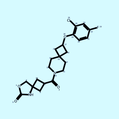 O=C1NC2(CO1)CC(C(=O)N1CCC3(CC1)CC(Oc1ccc(F)cc1Cl)C3)C2